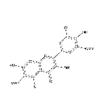 COc1cc(-c2oc3cc(O)c(OC)c(O)c3c(=O)c2O)cc(O)c1O